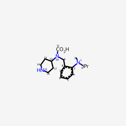 CC(C)N(C)c1ccccc1CN(C(=O)O)C1CCNCC1